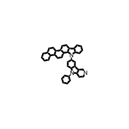 c1ccc(-n2c3ccncc3c3cc(-n4c5ccccc5c5ccc6c7ccc8ccccc8c7ccc6c54)ccc32)cc1